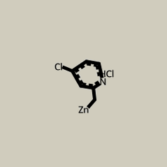 Cl.Clc1ccnc([CH2][Zn])c1